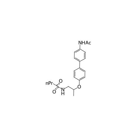 CCCS(=O)(=O)NCC(C)Oc1ccc(-c2ccc(NC(C)=O)cc2)cc1